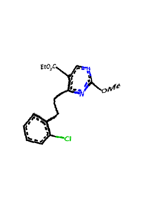 CCOC(=O)c1cnc(OC)nc1CCc1ccccc1Cl